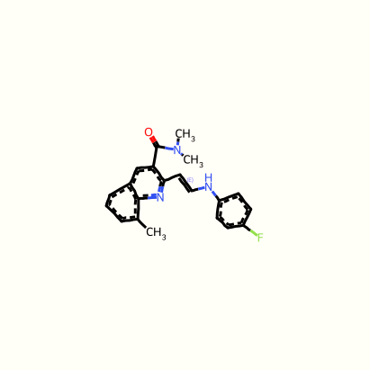 Cc1cccc2cc(C(=O)N(C)C)c(/C=C/Nc3ccc(F)cc3)nc12